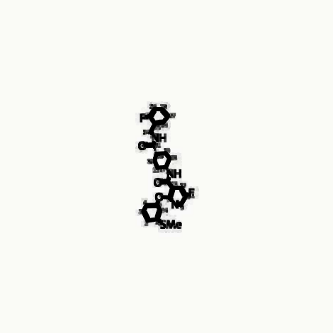 CSc1cccc(Oc2ncc(F)cc2C(=O)N[C@H]2CC[C@@H](C(=O)NCc3ccccc3F)CC2)c1